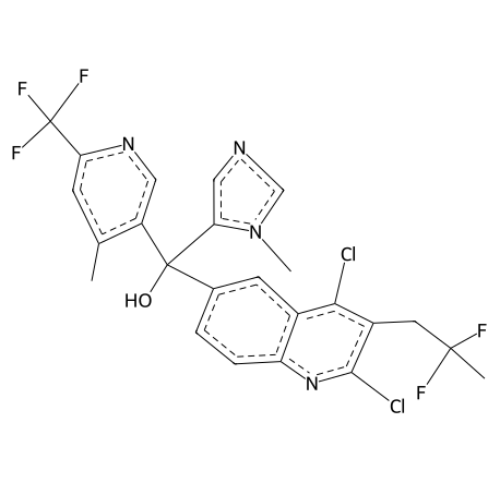 Cc1cc(C(F)(F)F)ncc1C(O)(c1ccc2nc(Cl)c(CC(C)(F)F)c(Cl)c2c1)c1cncn1C